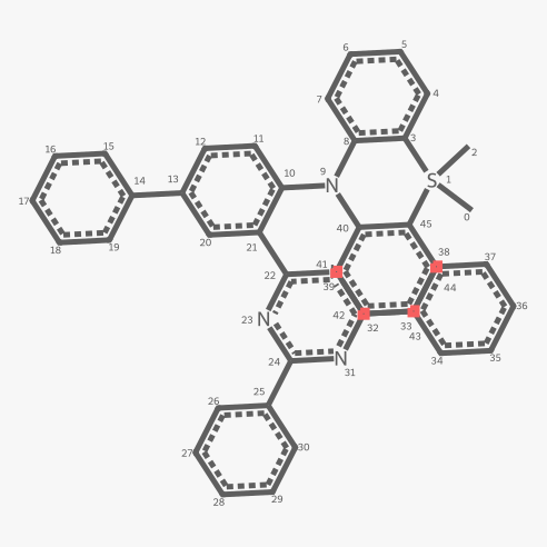 CS1(C)c2ccccc2N(c2ccc(-c3ccccc3)cc2-c2nc(-c3ccccc3)nc(-c3ccccc3)n2)c2ccccc21